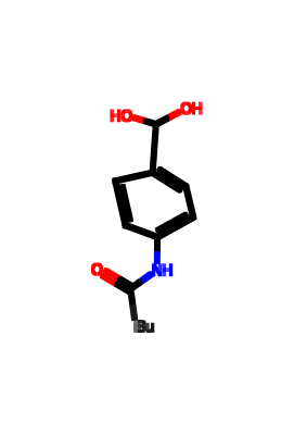 CCC(C)C(=O)Nc1ccc(C(O)O)cc1